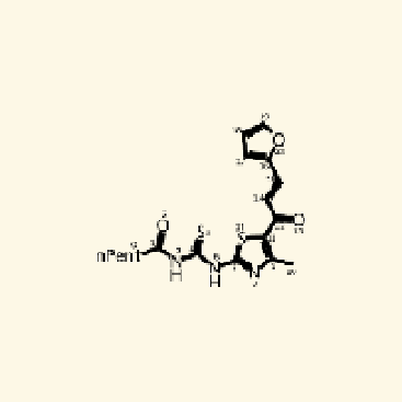 CCCCCC(=O)NC(=S)Nc1nc(C)c(C(=O)C=Cc2ccco2)s1